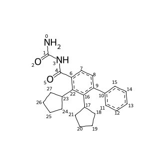 NC(=O)NC(=O)c1ccc(-c2ccccc2)c(C2CCCC2)c1C1CCCC1